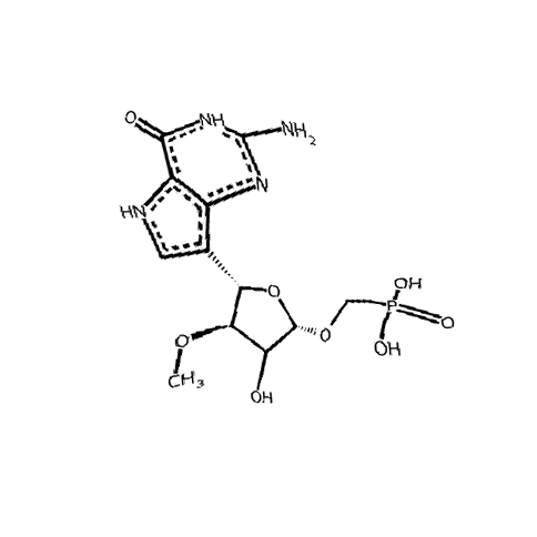 CO[C@@H]1C(O)[C@@H](OCP(=O)(O)O)O[C@H]1c1c[nH]c2c(=O)[nH]c(N)nc12